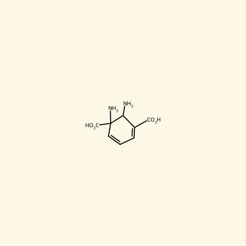 NC1C(C(=O)O)=CC=CC1(N)C(=O)O